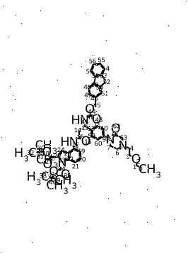 CCOCCN1CCN(c2ccc([C@H](CC(=O)Nc3cccc4c3cc(C(=O)OC(C)(C)C)n4C(=O)OC(C)(C)C)NC(=O)OCc3ccc4c(c3)Cc3ccccc3-4)cc2)C(=O)C1